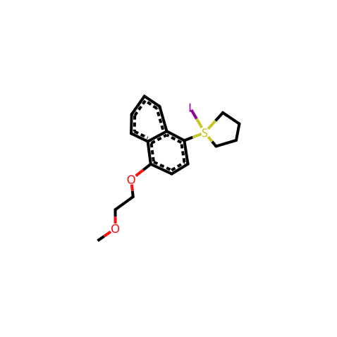 COCCOc1ccc(S2(I)CCCC2)c2ccccc12